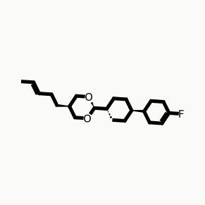 C/C=C/CC[C@H]1CO[C@H]([C@H]2CC[C@H](C3CC=C(F)CC3)CC2)OC1